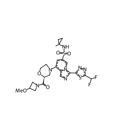 COC1CN(C(=O)[C@@H]2CN(c3cc(S(=O)(=O)NC4(C)CC4)cn4c(-c5nnc(C(F)F)s5)ncc34)CCO2)C1